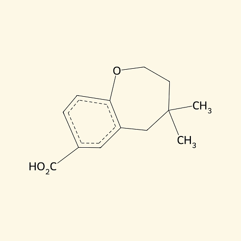 CC1(C)CCOc2ccc(C(=O)O)cc2C1